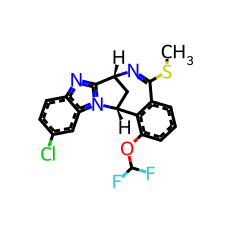 CSC1=N[C@@H]2C[C@H](c3c(OC(F)F)cccc31)n1c2nc2ccc(Cl)cc21